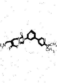 CN(C)c1ccc(-c2cccc(-n3cnn(CC(CN)=C(F)F)c3=O)c2)cn1